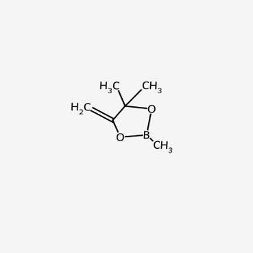 C=C1OB(C)OC1(C)C